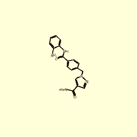 CNC(=O)c1cnn(Cc2ccc(C(=O)Nc3ccccc3N)cc2)c1